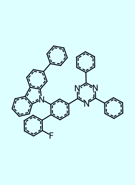 Fc1ccccc1-c1ccc(-c2nc(-c3ccccc3)nc(-c3ccccc3)n2)cc1-n1c2ccccc2c2ccc(-c3ccccc3)cc21